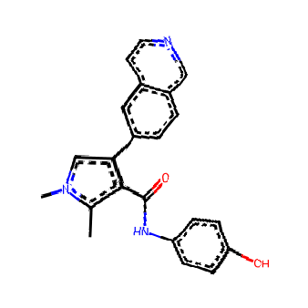 Cc1c(C(=O)Nc2ccc(O)cc2)c(-c2ccc3cnccc3c2)cn1C